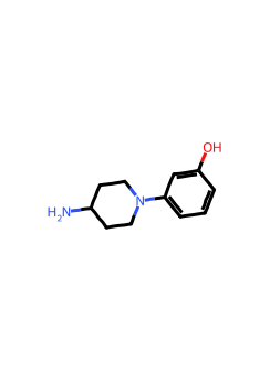 NC1CCN(c2cccc(O)c2)CC1